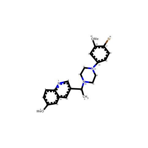 COc1ccc2ncc(C(C)N3CCN(c4ccc(Br)c(OC)c4)CC3)cc2c1